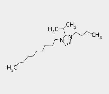 CCCCCCCCCCN1C=CN(CCCC)C1C(C)C